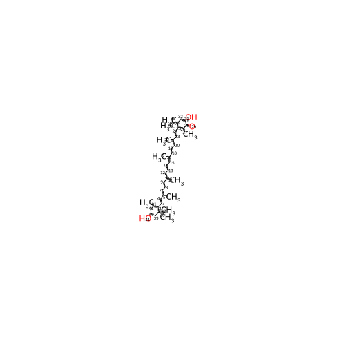 CC1=C(/C=C/C(C)=C/C=C/C(C)=C/C=C/C=C(C)/C=C/C=C(C)/C=C/C2=C(C)C(=O)C(O)=CC2(C)C)C(C)(C)CC(O)C1